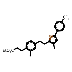 CCOC(=O)CCc1ccc(CCc2sc(-c3ccc(C(F)(F)F)cc3)cc2C)cc1C